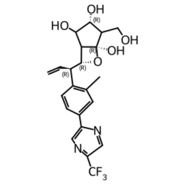 C=C[C@H](c1ccc(-c2cnc(C(F)(F)F)cn2)cc1C)[C@H]1O[C@]2(O)C(CO)[C@@H](O)C(O)C12